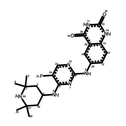 CC1(C)CC(Nc2nc(Nc3ccc4[nH]c(=O)[nH]c(=O)c4c3)ncc2F)CC(C)(C)N1